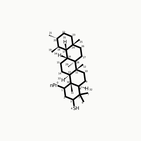 [CH2]CCC1CC(S)C(C)(C)[C@@H]2CC[C@]3(C)[C@H](CC[C@@H]4[C@@H]5[C@@H](C)[C@H](C)CC[C@]5(C)CC[C@]43C)[C@@]12C